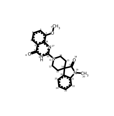 COc1cccc2c(=O)[nH]c(N3CCC4(CC3)C(=O)N(C)c3ccccc34)nc12